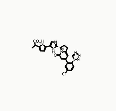 CC(C(=O)O)c1ccc(-c2cnc([C@@H]3CCc4cc(-c5cc(Cl)ccc5-n5cnnn5)cc(=O)n43)[nH]2)s1